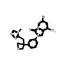 Cn1cnnc1CC1(c2cccc(-n3cc4c(C(F)(F)F)cc(Br)cn4c3=O)c2)COC1